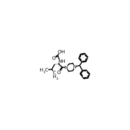 CC(C)C[C@H](NC(=O)O)C(=O)N1CCN(C(c2ccccc2)c2ccccc2)CC1